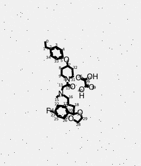 CCc1ccc(OC2CCN(C(=O)CN(C)CCCC3(c4ccc(F)cc4)OCCO3)CC2)cc1.O=C(O)C(=O)O